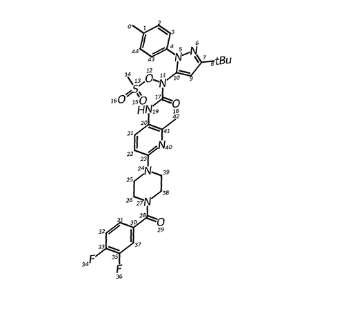 Cc1ccc(-n2nc(C(C)(C)C)cc2N(OS(C)(=O)=O)C(=O)Nc2ccc(N3CCN(C(=O)c4ccc(F)c(F)c4)CC3)nc2C)cc1